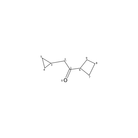 O=C([CH]C1CC1)C1CCC1